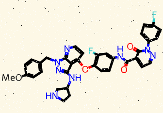 COc1ccc(Cn2nc(NC3CCNC3)c3c(Oc4ccc(NC(=O)c5ccnn(-c6ccc(F)cc6)c5=O)cc4F)ccnc32)cc1